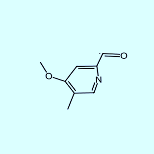 COc1cc([C]=O)ncc1C